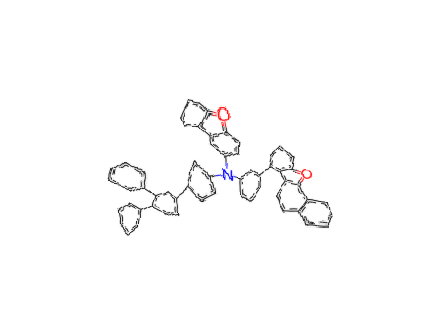 c1ccc(-c2ccc(-c3ccc(N(c4cccc(-c5cccc6oc7c8ccccc8ccc7c56)c4)c4ccc5oc6ccccc6c5c4)cc3)cc2-c2ccccc2)cc1